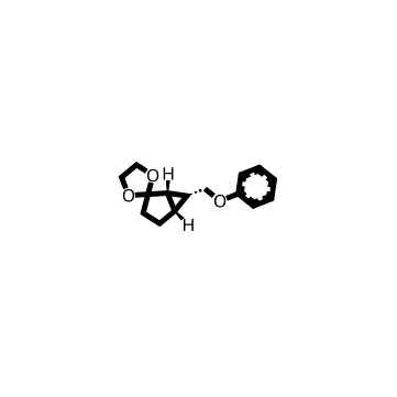 c1ccc(OC[C@@H]2[C@@H]3CCC4(OCCO4)[C@H]23)cc1